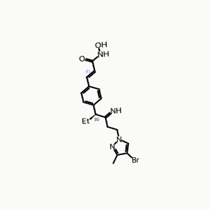 CC[C@H](C(=N)CCn1cc(Br)c(C)n1)c1ccc(/C=C/C(=O)NO)cc1